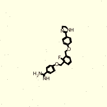 N=C(N)c1ccc(OCc2cccc(COc3ccc(C4=NCCN4)cc3)c2F)cc1